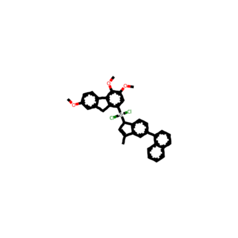 COc1ccc2c(c1)Cc1[c]([Zr]([Cl])([Cl])[CH]3C=C(C)c4cc(-c5cccc6ccccc56)ccc43)cc(OC)c(OC)c1-2